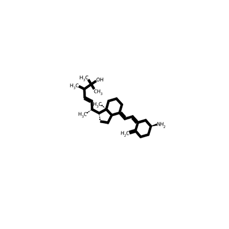 C=C1CC[C@H](N)C/C1=C/C=C1\CCC[C@@]2(C)C1CC[C@@H]2[C@H](C)/C=C/C(C)C(C)(C)O